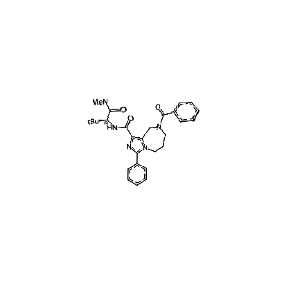 CNC(=O)[C@@H](NC(=O)c1nc(-c2ccccc2)n2c1CN(C(=O)c1ccccc1)CCC2)C(C)(C)C